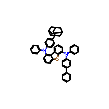 c1ccc(-c2ccc(N(c3ccccc3)c3cccc4c3sc3cccc(N(c5ccccc5)c5ccc(C67CC8CC(CC(C8)C6)C7)cc5)c34)cc2)cc1